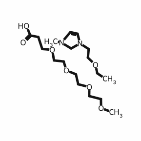 CCOCCN1C=CN(C)C1.COCCOCCOCCOCCC(=O)O